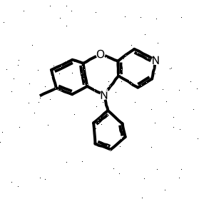 Cc1ccc2c(c1)N(c1ccccc1)c1ccncc1O2